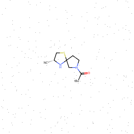 CC(C)(C)C(=O)N1CCC2(C1)N[C@H](C#N)CS2